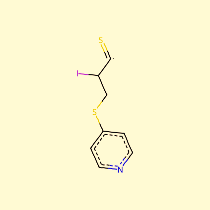 S=[C]C(I)CSc1ccncc1